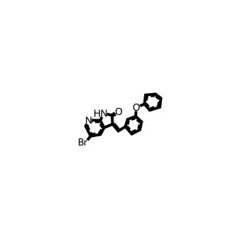 O=C1Nc2ncc(Br)cc2C1=Cc1cccc(Oc2ccccc2)c1